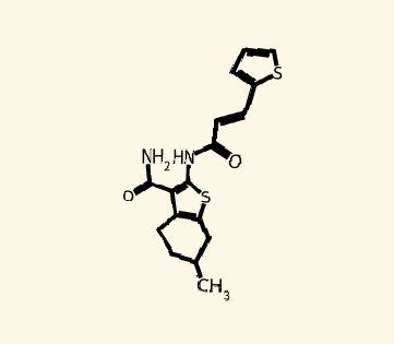 CC1CCc2c(sc(NC(=O)C=Cc3cccs3)c2C(N)=O)C1